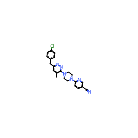 Cc1cc(Cc2ccc(Cl)cc2)nnc1N1CCN(c2ccc(C#N)cn2)CC1